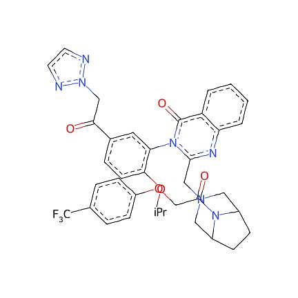 CC(C)Oc1ccc(C(=O)Cn2nccn2)cc1-n1c(CN2CC3CCC(C2)N3C(=O)COc2ccc(C(F)(F)F)cc2)nc2ccccc2c1=O